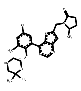 Cc1cc(Cl)cc(-c2ncnc3cc(CN4C(=O)CCC4C(F)(F)F)sc23)c1C[C@H]1CNCC(C)(C)O1